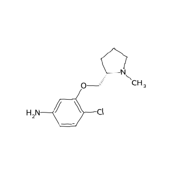 CN1CCC[C@H]1COc1cc(N)ccc1Cl